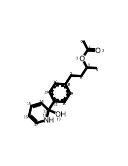 CC(=O)OC(C)CCc1ccc(C2(O)C=CC=CN2)cc1